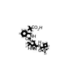 CC(C)(C[C@H](NC(=O)N1Cc2c(NC(=O)C3([Si](C)(C)C)CCC3)n[nH]c2C1(C)C)c1ccccc1)C(=O)O